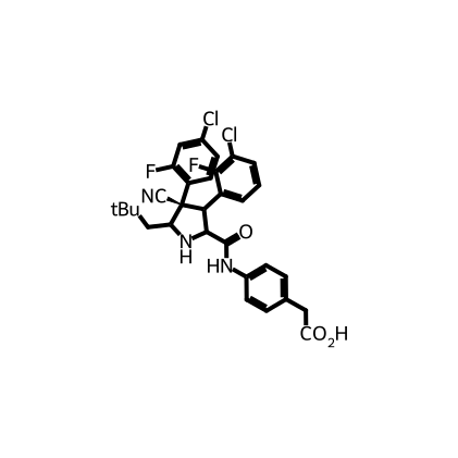 CC(C)(C)CC1NC(C(=O)Nc2ccc(CC(=O)O)cc2)C(c2cccc(Cl)c2F)[C@@]1(C#N)c1ccc(Cl)cc1F